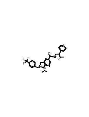 CC(C)[C@H]1c2ncc(C(=O)NCC(c3ccncc3)N(C)C)cc2CN1Cc1ccc(C(F)(F)F)cc1